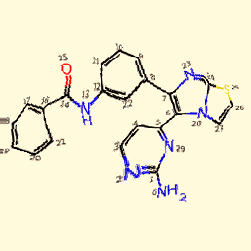 Nc1nccc(-c2c(-c3cccc(NC(=O)c4ccccc4)c3)nc3sccn23)n1